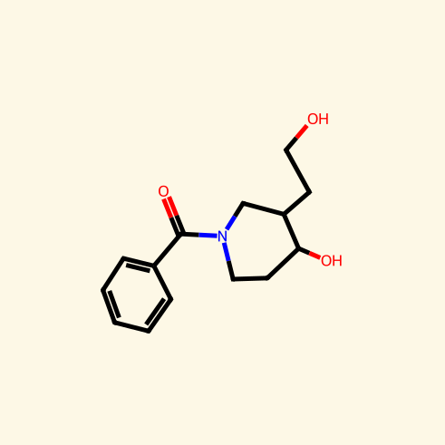 O=C(c1ccccc1)N1CCC(O)C(CCO)C1